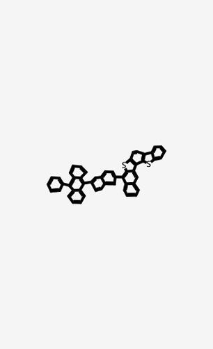 c1ccc(-c2c3ccccc3c(-c3ccc4cc(-c5c6ccccc6cc6c5sc5ccc7c8ccccc8sc7c56)ccc4c3)c3ccccc23)cc1